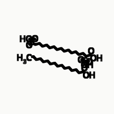 CCCCCCCCCCCCCCCC(=O)O.O=C(O)C(CCCCCCCCCCCCCCS(=O)(=O)O)S(=O)(=O)O